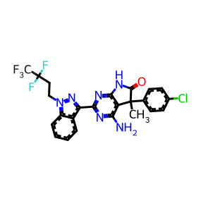 CC1(c2ccc(Cl)cc2)C(=O)Nc2nc(-c3nn(CCC(F)(F)C(F)(F)F)c4ccccc34)nc(N)c21